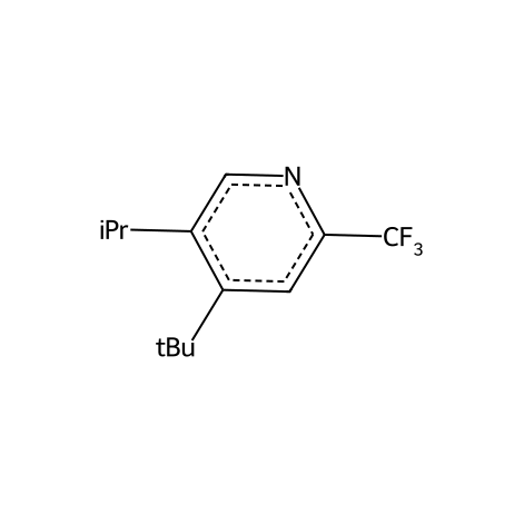 CC(C)c1cnc(C(F)(F)F)cc1C(C)(C)C